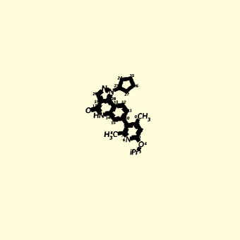 Cc1cc(OC(C)C)nc(C)c1-c1ccc2c(c1)[nH]c(=O)c1cnn(C3CCCC3)c12